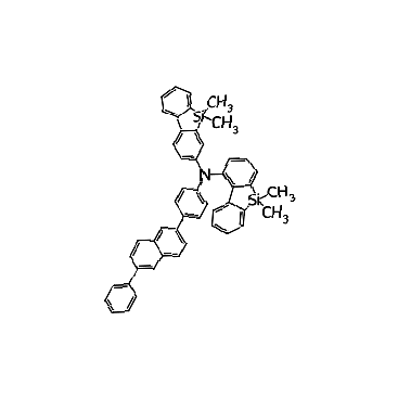 C[Si]1(C)c2ccccc2-c2ccc(N(c3ccc(-c4ccc5cc(-c6ccccc6)ccc5c4)cc3)c3cccc4c3-c3ccccc3[Si]4(C)C)cc21